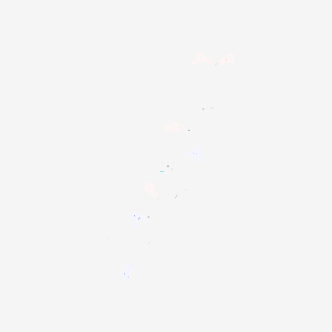 Cc1nc(C(=O)C[C@@H]2CCN(C[C@H](O)c3ccc4c(c3C)COC4=O)C[C@@H]2F)ccc1C#N